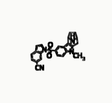 Cn1c2c(c3cc(S(=O)(=O)n4ccc5ccc(C#N)cc54)ccc31)C1CCC(C2)N1